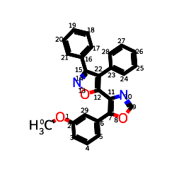 COc1cccc(-c2ocnc2-c2onc(-c3ccccc3)c2-c2ccccc2)c1